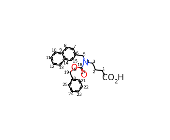 O=C(O)CCCN(Cc1ccc2ccccc2c1)C(=O)OCc1ccccc1